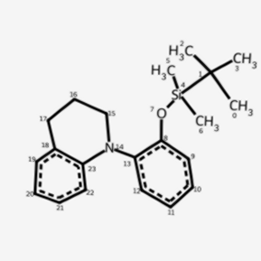 CC(C)(C)[Si](C)(C)Oc1ccccc1N1CCCc2ccccc21